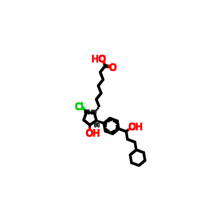 O=C(O)CCCCCC[C@H]1[C@H](Cl)CC(O)[C@@H]1c1ccc(C(O)CCC2CCCCC2)cc1